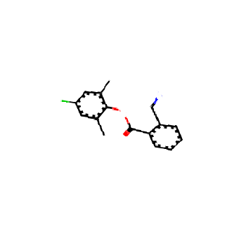 Cc1cc(Cl)cc(C)c1OC(=O)c1ccccc1CN